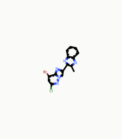 Cc1nc2ccccc2nc1-c1cn2nc(Cl)cc(Br)c2n1